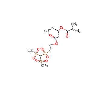 C=C(C)C(=O)OC(CC)CC(=O)OCCS(=O)(=O)C(S(C)(=O)=O)S(C)(=O)=O